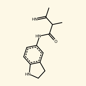 CC(=N)C(C)C(=O)Nc1ccc2c(c1)CCN2